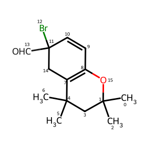 CC1(C)CC(C)(C)C2=C(C=CC(Br)(C=O)C2)O1